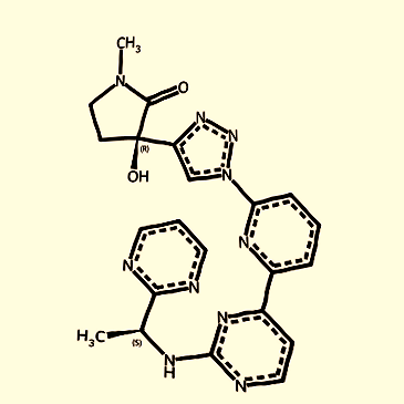 C[C@H](Nc1nccc(-c2cccc(-n3cc([C@]4(O)CCN(C)C4=O)nn3)n2)n1)c1ncccn1